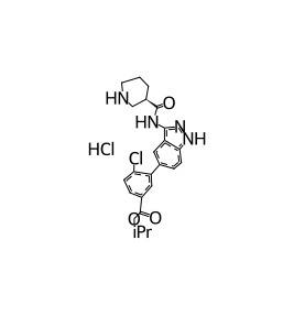 CC(C)OC(=O)c1ccc(Cl)c(-c2ccc3[nH]nc(NC(=O)[C@@H]4CCCNC4)c3c2)c1.Cl